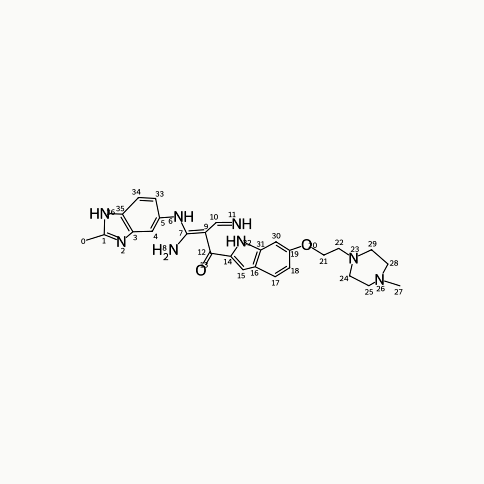 Cc1nc2cc(N/C(N)=C(\C=N)C(=O)c3cc4ccc(OCCN5CCN(C)CC5)cc4[nH]3)ccc2[nH]1